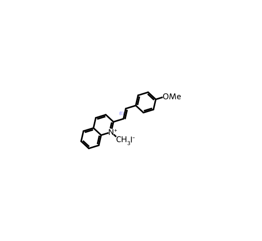 COc1ccc(/C=C/c2ccc3ccccc3[n+]2C)cc1.[I-]